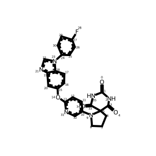 O=C1NC(=O)C2(CCCN2c2ccc(Oc3ccc4c(c3)ncn4-c3ccc(F)cc3)nc2)C(=O)N1